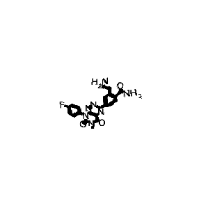 Cn1c(=O)c2nc(-c3ccc(C(N)=O)c(CCN)c3)nnc2n(-c2ccc(F)cc2)c1=O